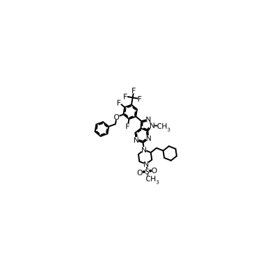 Cn1nc(-c2cc(C(F)(F)F)c(F)c(OCc3ccccc3)c2F)c2cnc(N3CCN(S(C)(=O)=O)CC3CC3CCCCC3)nc21